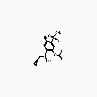 CS(=O)(=O)c1cc(OC(F)F)c(N(O)CC2CC2)cc1Br